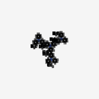 Cc1cccc(N(c2ccccc2)c2ccc(-c3ccc(N(c4ccc(-c5ccc(N(c6ccccc6)c6cccc(C)c6)cc5C)c(C)c4)c4ccc(-c5ccc(N(c6ccccc6)c6cccc(C)c6)cc5C)c(C)c4)cc3C)c(C)c2)c1